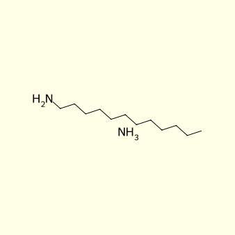 CCCCCCCCCCCCN.N